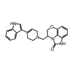 O=c1[nH]c2cccc3c2n1C(CN1CC=C(c2c[nH]c4ccccc24)CC1)CO3